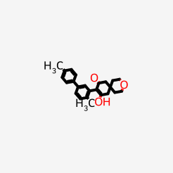 Cc1ccc(-c2ccc(C)c(C3=C(O)CC4(CCOCC4)CC3=O)c2)cc1